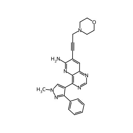 Cn1cc(-c2ncnc3cc(C#CCN4CCOCC4)c(N)nc23)c(-c2ccccc2)n1